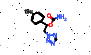 CC(C)(C)c1ccc(C(Cn2ncnn2)OC(N)=O)cc1